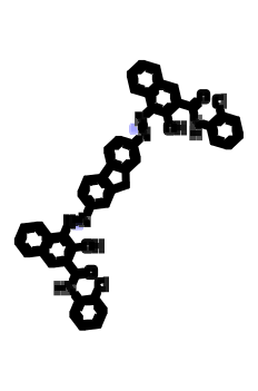 O=C(Nc1ccccc1Cl)c1cc2ccccc2c(/N=N/c2ccc3c(c2)Cc2cc(/N=N/c4c(O)c(C(=O)Nc5ccccc5Cl)cc5ccccc45)ccc2-3)c1O